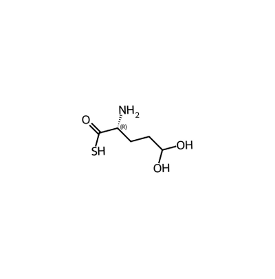 N[C@H](CCC(O)O)C(=O)S